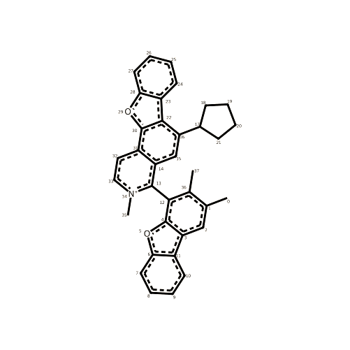 Cc1cc2c(oc3ccccc32)c(-c2c3cc(C4CCCC4)c4c5ccccc5oc4c3cc[n+]2C)c1C